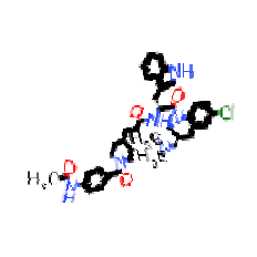 CC(=O)Nc1ccc(C(=O)N2CCC(CCC(=O)N[C@H](Cc3c[nH]c4ccccc34)C(=O)N3C[C@H](CN(C)C)Cc4cc(Cl)ccc43)CC2)cc1